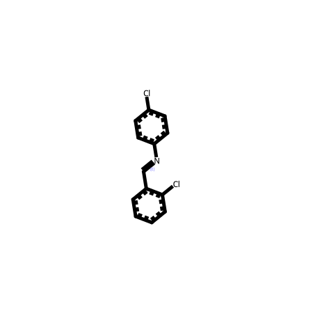 Clc1ccc(/N=C/c2ccccc2Cl)cc1